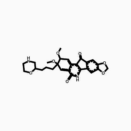 COC1C=c2c3c([nH]c(=O)c2=CC1(CCCC1CNCCO1)OC)-c1cc2c(cc1C3=O)OCO2